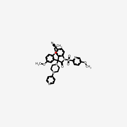 CCOc1ccc(OC)cc1C1(N2CCN(c3ccncc3)CC2)C(=O)N(S(=O)(=O)c2ccc(OC)cn2)c2ccc(C#N)cc21